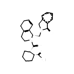 O=C(O)[C@H]1CCCC[C@H]1C(=O)N1CCC2=C(C=CCC2)[C@H]1CN1Cc2ccccc2C1=O